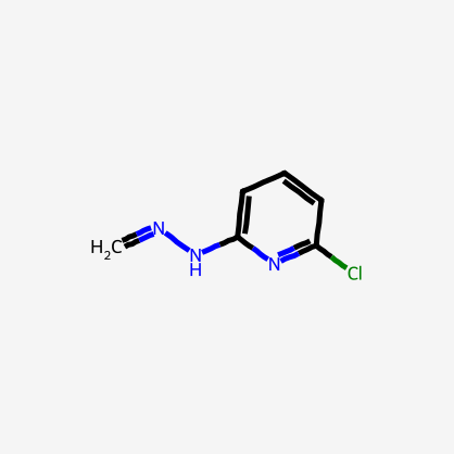 C=NNc1cccc(Cl)n1